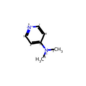 CN(C)C1=CC=[N+]C=C1